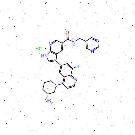 Cl.N[C@@H]1CCCN(c2ccnc3c(F)cc(-c4c[nH]c5ncc(C(=O)NCc6cncnc6)cc45)cc23)C1